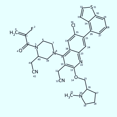 C=C(F)C(=O)N1CCN(c2c(CC#N)c(OCC3CCCN3C)nc3cc(-c4cccc5sccc45)c(Cl)cc23)CC1CC#N